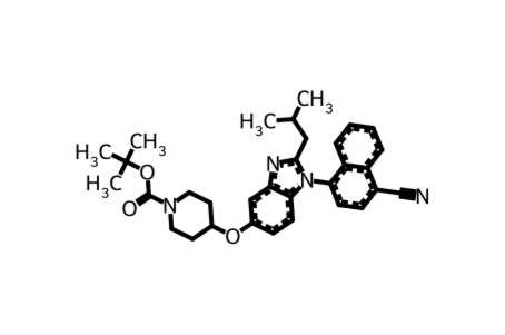 CC(C)Cc1nc2cc(OC3CCN(C(=O)OC(C)(C)C)CC3)ccc2n1-c1ccc(C#N)c2ccccc12